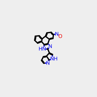 O=Nc1ccc2c3ccccc3c3[nH]c(-c4c[nH]c5ncccc45)nc3c2c1